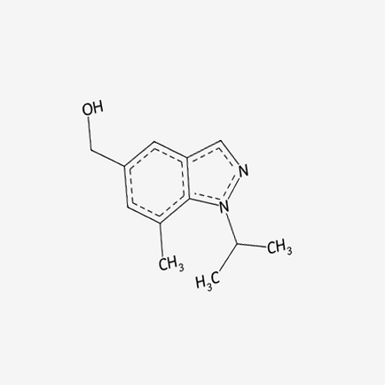 Cc1cc(CO)cc2cnn(C(C)C)c12